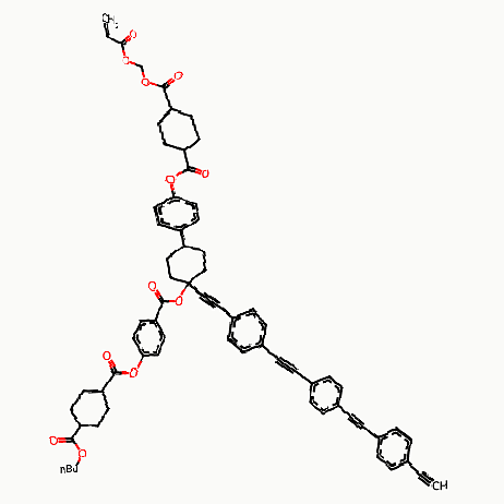 C#Cc1ccc(C#Cc2ccc(C#Cc3ccc(C#CC4(OC(=O)c5ccc(OC(=O)C6CCC(C(=O)OCCCC)CC6)cc5)CCC(c5ccc(OC(=O)C6CCC(C(=O)OCOC(=O)C=C)CC6)cc5)CC4)cc3)cc2)cc1